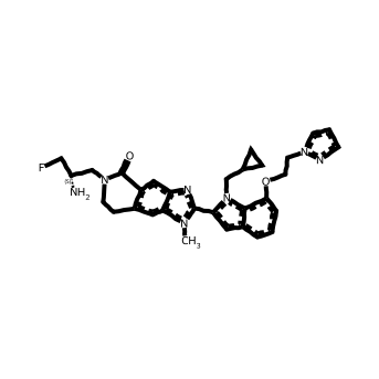 Cn1c(-c2cc3cccc(OCCn4cccn4)c3n2CC2CC2)nc2cc3c(cc21)CCN(C[C@H](N)CF)C3=O